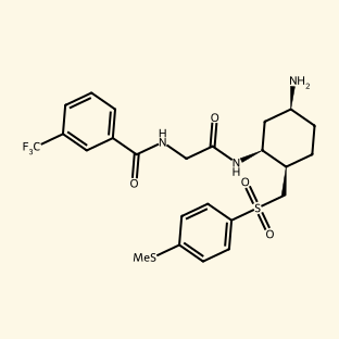 CSc1ccc(S(=O)(=O)C[C@@H]2CC[C@H](N)C[C@@H]2NC(=O)CNC(=O)c2cccc(C(F)(F)F)c2)cc1